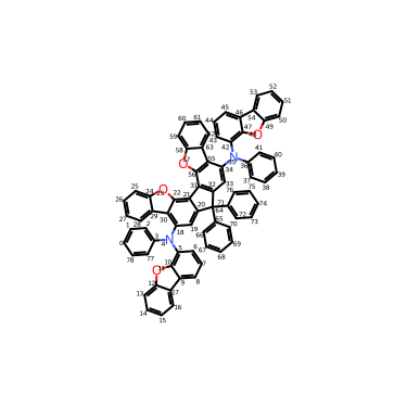 c1ccc(N(c2cccc3c2oc2ccccc23)c2cc3c(c4oc5ccccc5c24)-c2c(cc(N(c4ccccc4)c4cccc5c4oc4ccccc45)c4c2oc2ccccc24)C3(c2ccccc2)c2ccccc2)cc1